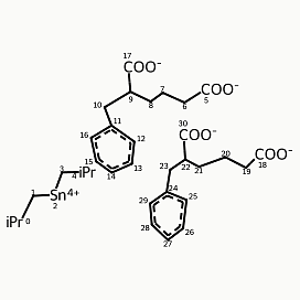 CC(C)[CH2][Sn+4][CH2]C(C)C.O=C([O-])CCCC(Cc1ccccc1)C(=O)[O-].O=C([O-])CCCC(Cc1ccccc1)C(=O)[O-]